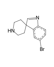 Brc1ccc2c(c1)C1(C=N2)CCNCC1